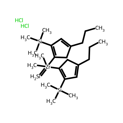 CCCC1=CC([Si](C)(C)C)=[C]([Zr]([CH3])([CH3])(=[SiH2])[C]2=C([Si](C)(C)C)C=C(CCC)C2)C1.Cl.Cl